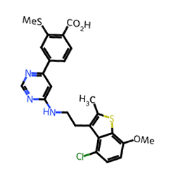 COc1ccc(Cl)c2c(CCNc3cc(-c4ccc(C(=O)O)c(SC)c4)ncn3)c(C)sc12